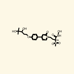 CC(C)(O)C(O)CCOc1ccc(-c2ccn(CC[C@](C)(C(=O)NO)S(C)(=O)=O)c(=O)c2)cc1